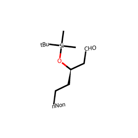 CCCCCCCCCCC[C@H](CC=O)O[Si](C)(C)C(C)(C)C